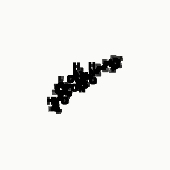 NC(=O)c1c(OCc2c(F)ccc(C(=O)NC3CC3)c2F)nsc1NC(=O)NCCCCN1CCCC1